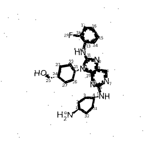 N[C@H]1CC[C@H](Nc2ncc3nc(Nc4ccccc4F)n([C@H]4CC[C@@H](CO)CC4)c3n2)CC1